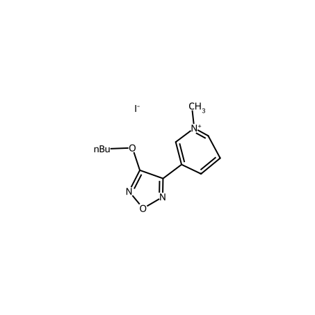 CCCCOc1nonc1-c1ccc[n+](C)c1.[I-]